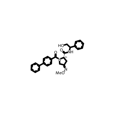 CON=C1C[C@@H](C(=O)NC(CO)c2ccccc2)N(C(=O)c2ccc(-c3ccccc3)cc2)C1